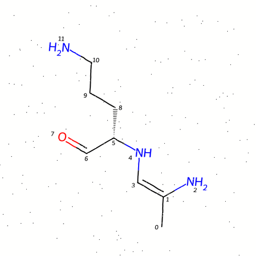 C/C(N)=C/N[C@H](C=O)CCCN